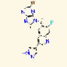 Cc1nc2ncc(Br)nc2n1[C@H](C)c1cc2cc(-c3cnn(C)c3)cnc2cc1F